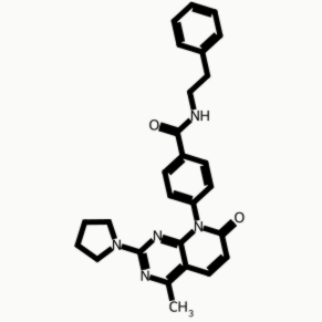 Cc1nc(N2CCCC2)nc2c1ccc(=O)n2-c1ccc(C(=O)NCCc2ccccc2)cc1